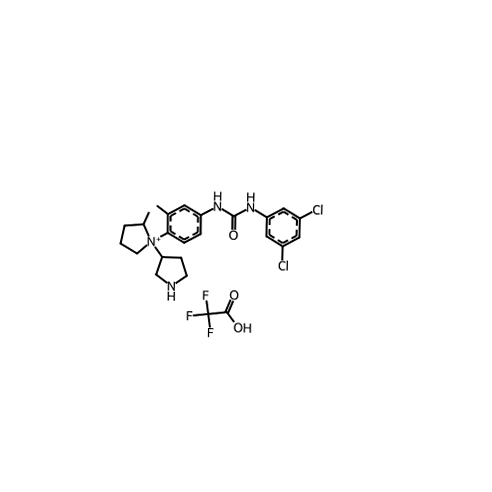 Cc1cc(NC(=O)Nc2cc(Cl)cc(Cl)c2)ccc1[N+]1(C2CCNC2)CCCC1C.O=C(O)C(F)(F)F